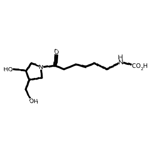 O=C(O)NCCCCCC(=O)N1CC(O)C(CO)C1